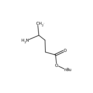 [CH2]C(N)CCC(=O)OCCCC